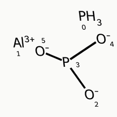 P.[Al+3].[O-]P([O-])[O-]